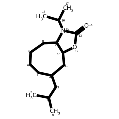 CC(C)CC1CCCCC2C(C1)OC(=O)N2C(C)C